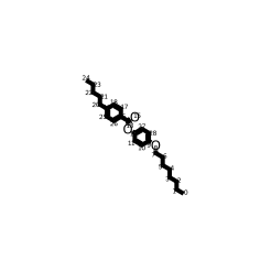 CCCCCCCCOc1ccc(OC(=O)c2ccc(CCCCC)cc2)cc1